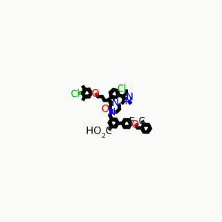 Cc1cc(OCCCc2c3n(c4c(-c5c(C)nn(C)c5C)c(Cl)ccc24)CCCN(Cc2cc(C(=O)O)cc(-c4ccc(OCc5ccccc5C(F)(F)F)cc4)c2)C3=O)cc(C)c1Cl